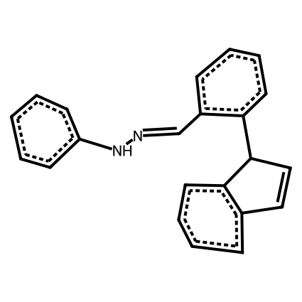 C1=CC(c2ccccc2C=NNc2ccccc2)c2ccccc21